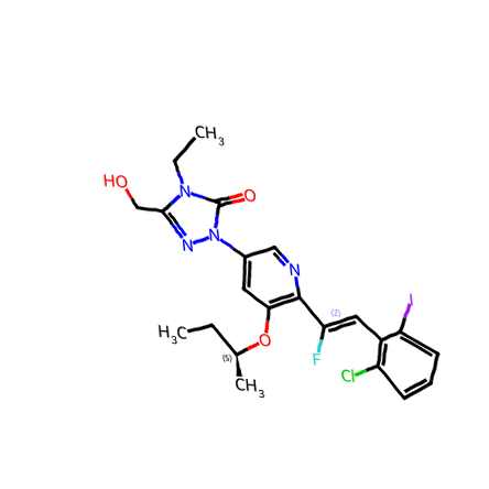 CC[C@H](C)Oc1cc(-n2nc(CO)n(CC)c2=O)cnc1/C(F)=C/c1c(Cl)cccc1I